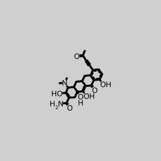 CC(=O)C#Cc1ccc(O)c2c1CC1CC3C(N(C)C)C(O)=C(C(N)=O)CC3(O)C(O)=C1C2=O